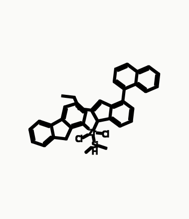 CCCC1=Cc2c(-c3cccc4ccccc34)cccc2[CH]1[Zr]([Cl])([Cl])([c]1cccc2c1Cc1ccccc1-2)[SiH](C)C